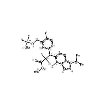 Cc1ccc(C(c2ccn3c(C(F)F)nnc3c2C)C(C)(C)C(=O)OC(C)(C)C)nc1CO[Si](C)(C)C(C)(C)C